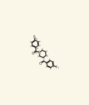 O=C(c1ccc(F)cc1)[C@H]1CCCN(C(=O)c2ccc(F)cc2)C1